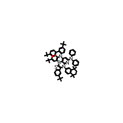 CC(C)(C)c1ccc(-c2cc(C(C)(C)C)ccc2N2c3ccc(C(C)(C)C)cc3B3c4sc5ccc(C(C)(C)C)cc5c4N(c4ccc5c(c4)C(C)(C)CCC5(C)C)c4nc(N(c5ccccc5)c5ccccc5)cc2c43)cc1